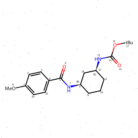 COc1ccc(C(=O)N[C@@H]2CCC[C@H](NC(=O)OC(C)(C)C)C2)cc1